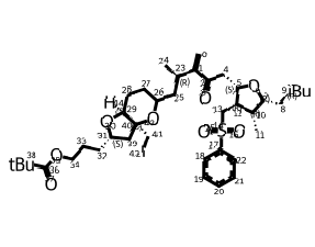 C=C(C(=O)C[C@@H]1O[C@H](C[C@H](C)CC)[C@H](C)[C@H]1CS(=O)(=O)c1ccccc1)[C@H](C)CC1CC[C@@H]2O[C@@H](CCCOC(=O)C(C)(C)C)C[C@]2(CI)O1